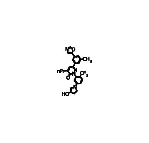 CCCc1cc(-c2cc(C)cc(-c3cnco3)c2)nn(-c2cc(N3CCC(O)C3)ccc2C(F)(F)F)c1=O